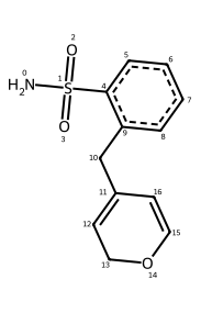 NS(=O)(=O)c1ccccc1CC1=CCOC=C1